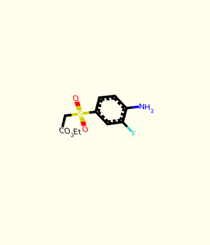 CCOC(=O)CS(=O)(=O)c1ccc(N)c(F)c1